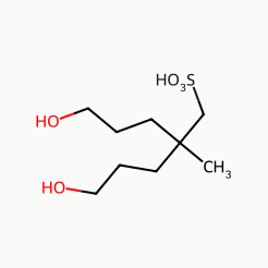 CC(CCCO)(CCCO)CS(=O)(=O)O